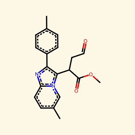 COC(=O)C(CC=O)c1c(-c2ccc(C)cc2)nc2ccc(C)cn12